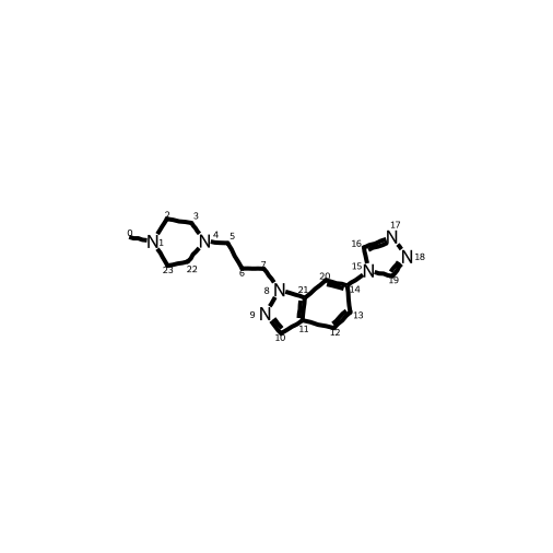 CN1CCN(CCCn2ncc3ccc(-n4cnnc4)cc32)CC1